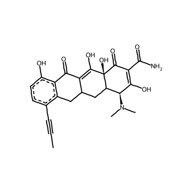 CC#Cc1ccc(O)c2c1CC1CC3[C@H](N(C)C)C(O)=C(C(N)=O)C(=O)[C@@]3(O)C(O)=C1C2=O